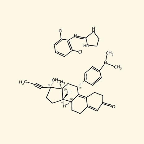 CC#C[C@]1(O)CC[C@H]2[C@@H]3CCC4=CC(=O)CCC4=C3[C@@H](c3ccc(N(C)C)cc3)C[C@@]21C.Clc1cccc(Cl)c1N=C1NCCN1